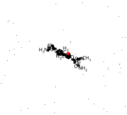 C=NCC(=O)OC(COC(=O)CN)COc1ccc(C(C)(C)c2ccc(OCC(CCl)OC(=O)CN)cc2)cc1